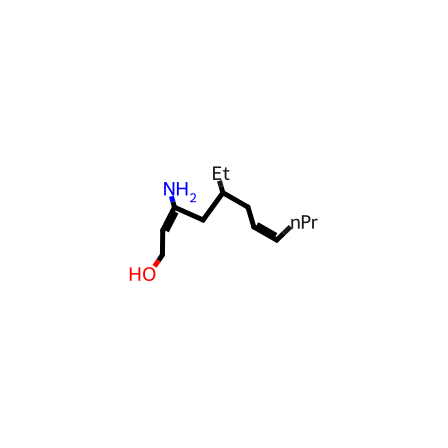 CCC/C=C\CC(CC)C/C(N)=C\CO